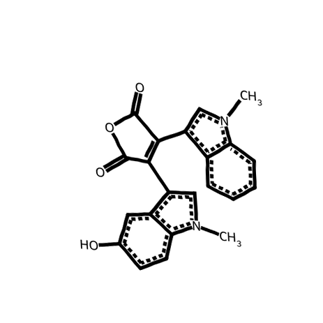 Cn1cc(C2=C(c3cn(C)c4ccc(O)cc34)C(=O)OC2=O)c2ccccc21